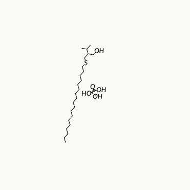 CCCCCCCCCCCCCCCCCCSCC(CO)C(C)C.O=P(O)(O)O